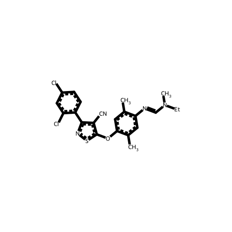 CCN(C)C=Nc1cc(C)c(Oc2snc(-c3ccc(Cl)cc3Cl)c2C#N)cc1C